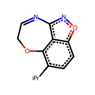 CC(C)c1ccc2onc3c2c1OCC=N3